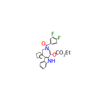 CCOC(=O)OC1=CN(C(=O)c2ccc(F)c(F)c2)CC2(CCCC2)c2c1[nH]c1ccccc21